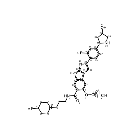 COc1cc2c(cc1C(=O)NCCCN1CCC(F)CC1)sc1nc(-c3ccc([C@H]4C[C@@H](O)CN4)cc3F)cn12.Cl.Cl